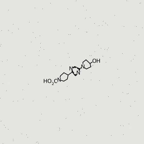 O=C(O)N1CCC(c2cnc(N3CCC(O)CC3)cn2)CC1